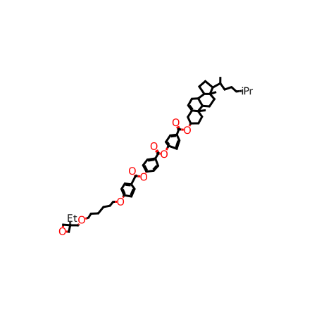 CCC1(COCCCCCCOc2ccc(C(=O)Oc3ccc(C(=O)Oc4ccc(C(=O)OC5CCC6(C)C(=CCC7C6CCC6(C)C(C(C)CCCC(C)C)CCC76)C5)cc4)cc3)cc2)COC1